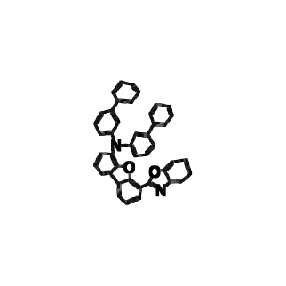 c1ccc(-c2cccc(N(c3cccc(-c4ccccc4)c3)c3cccc4c3oc3c(-c5nc6ccccc6o5)cccc34)c2)cc1